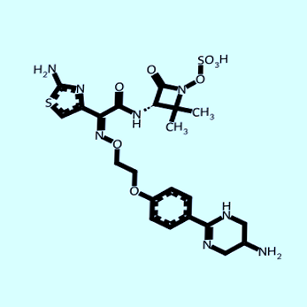 CC1(C)[C@H](NC(=O)/C(=N\OCCOc2ccc(C3=NCC(N)CN3)cc2)c2csc(N)n2)C(=O)N1OS(=O)(=O)O